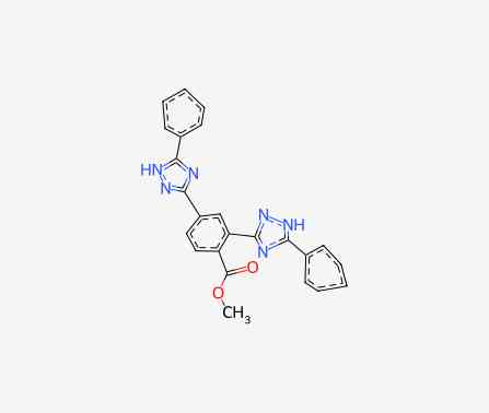 COC(=O)c1ccc(-c2n[nH]c(-c3ccccc3)n2)cc1-c1n[nH]c(-c2ccccc2)n1